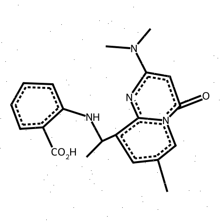 Cc1cc(C(C)Nc2ccccc2C(=O)O)c2nc(N(C)C)cc(=O)n2c1